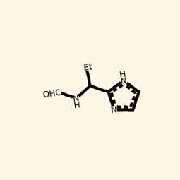 CCC(N[C]=O)c1ncc[nH]1